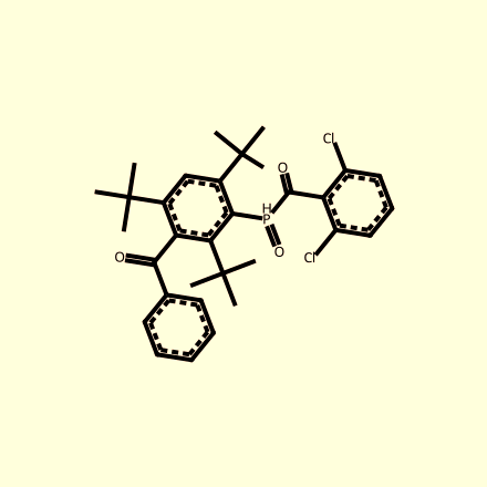 CC(C)(C)c1cc(C(C)(C)C)c([PH](=O)C(=O)c2c(Cl)cccc2Cl)c(C(C)(C)C)c1C(=O)c1ccccc1